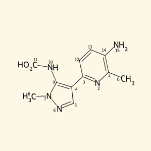 Cc1nc(-c2cnn(C)c2NC(=O)O)ccc1N